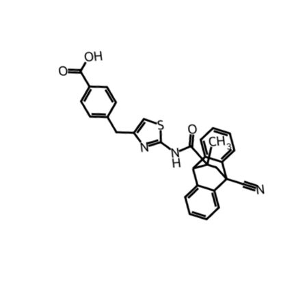 CC1(C(=O)Nc2nc(Cc3ccc(C(=O)O)cc3)cs2)CC2(C#N)c3ccccc3C1c1ccccc12